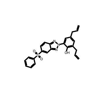 C=CCc1cc(CC=C)c(O)c(-n2nc3ccc(S(=O)(=O)c4ccccc4)cc3n2)c1